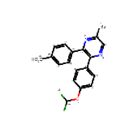 CCCCc1cnc(-c2ccc(OC(F)F)cc2)c(-c2ccc(C(=O)O)cc2)n1